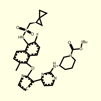 Cc1ccc2c(NS(=O)(=O)C[C@@H]3CC34CC4)c(F)ccc2c1Oc1ncccc1-c1ccnc(N[C@H]2CCCN(C(=O)OC(C)(C)C)C2)n1